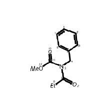 CCC(=O)N(Cc1ccccc1)C(=O)OC